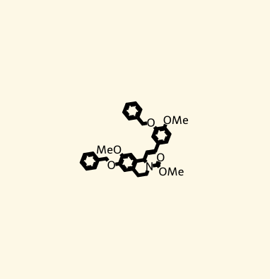 COC(=O)N1CCc2cc(OCc3ccccc3)c(OC)cc2C1C=Cc1ccc(OC)c(OCc2ccccc2)c1